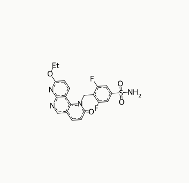 CCOc1ccc2c(ncc3ccc(=O)n(Cc4c(F)cc(S(N)(=O)=O)cc4F)c32)n1